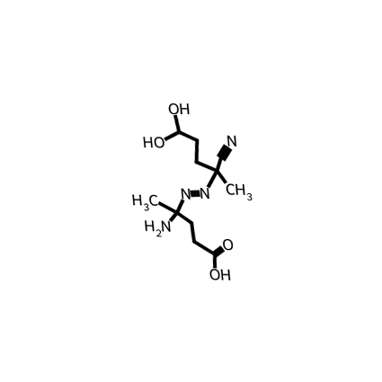 CC(N)(CCC(=O)O)/N=N/C(C)(C#N)CCC(O)O